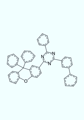 c1ccc(-c2cccc(-c3nc(-c4ccccc4)nc(-c4ccc5c(c4)C(c4ccccc4)(c4ccccc4)c4ccccc4O5)n3)c2)cc1